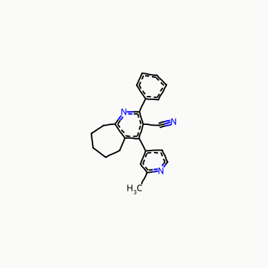 Cc1cc(-c2c(C#N)c(-c3ccccc3)nc3c2CCCCC3)ccn1